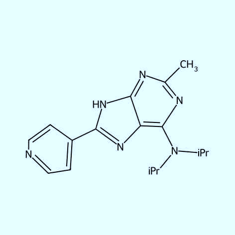 Cc1nc(N(C(C)C)C(C)C)c2nc(-c3ccncc3)[nH]c2n1